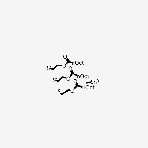 CCCCCCCCC(=O)OCC[S-].CCCCCCCCC(=O)OCC[S-].CCCCCCCCC(=O)OCC[S-].[CH3][Sn+3]